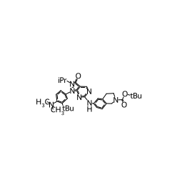 CC(C)n1c(=O)c2cnc(Nc3ccc4c(c3)CCN(C(=O)OC(C)(C)C)C4)nc2n1-c1ccc(N(C)C)c(C(C)(C)C)c1